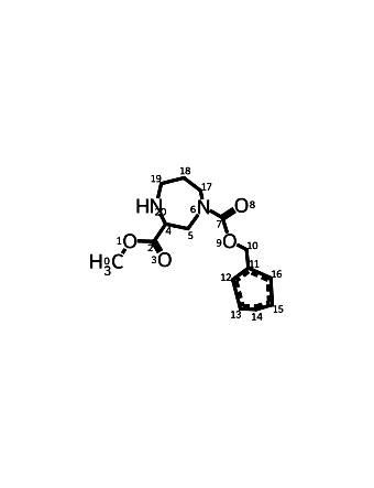 COC(=O)C1CN(C(=O)OCc2ccccc2)CCCN1